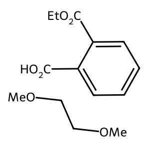 CCOC(=O)c1ccccc1C(=O)O.COCCOC